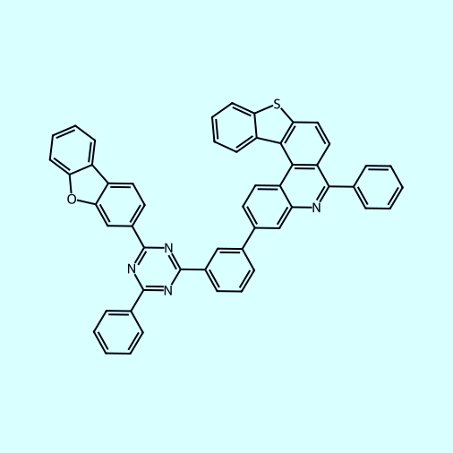 c1ccc(-c2nc(-c3cccc(-c4ccc5c(c4)nc(-c4ccccc4)c4ccc6sc7ccccc7c6c45)c3)nc(-c3ccc4c(c3)oc3ccccc34)n2)cc1